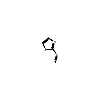 [N]=Nc1nccs1